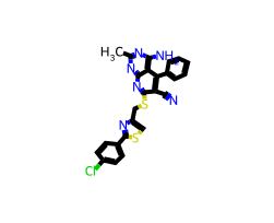 Cc1nc(N)c2c(-c3ccccc3)c(C#N)c(SCc3csc(-c4ccc(Cl)cc4)n3)nc2n1